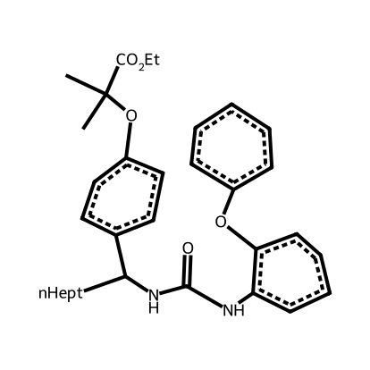 CCCCCCCC(NC(=O)Nc1ccccc1Oc1ccccc1)c1ccc(OC(C)(C)C(=O)OCC)cc1